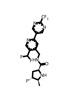 C[C@@H]1N[C@H](C(=O)NCc2cc(-c3cnc(C(F)(F)F)nc3)ncc2C(F)F)C[C@H]1F